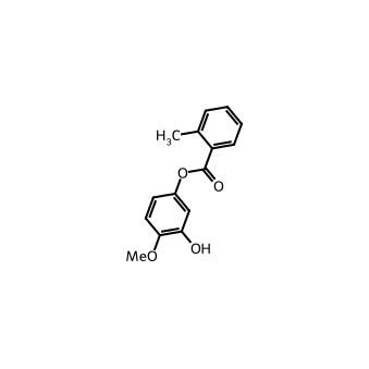 COc1ccc(OC(=O)c2ccccc2C)cc1O